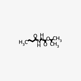 CCCC(=O)NNC(=O)OC(C)C